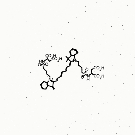 C=C1C(/C=C/C=C/C=C/C=C2/N(CCCCS(=O)(=O)NC(CC(=O)O)C(=O)O)c3ccccc3C2(C)C)=[N+](CCCCS(=O)(=O)NC(CC(=O)O)C(=O)O)c2ccccc21